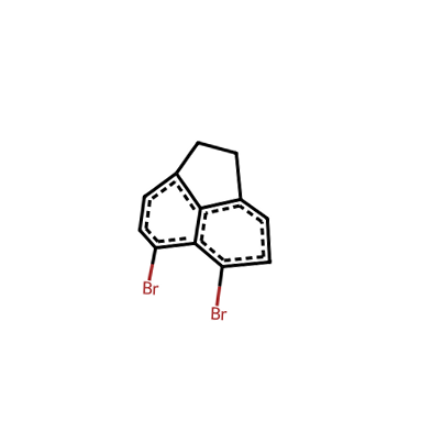 Brc1ccc2c3c(ccc(Br)c13)CC2